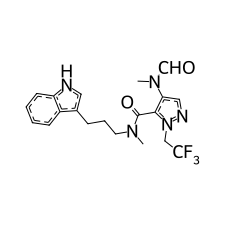 CN(CCCc1c[nH]c2ccccc12)C(=O)c1c(N(C)C=O)cnn1CC(F)(F)F